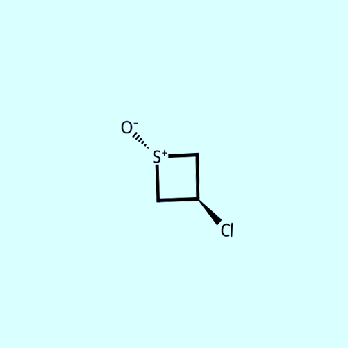 [O-][S@+]1C[C@@H](Cl)C1